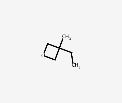 C[CH]C1(C)COC1